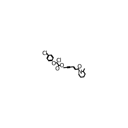 CC1CCCCN1C(=O)C=CC#CCOC(=O)C(Cl)Oc1ccc(Cl)cc1